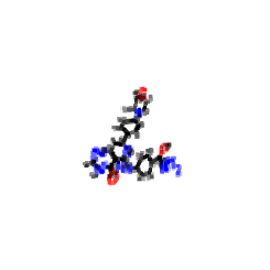 Cn1cnc2cc(-c3ccc(N4CCOCC4)cc3)nc(NC3CCC(C(N)=O)CC3)c2c1=O